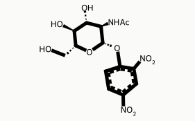 CC(=O)N[C@H]1[C@H](Oc2ccc([N+](=O)[O-])cc2[N+](=O)[O-])O[C@H](CO)[C@@H](O)[C@@H]1O